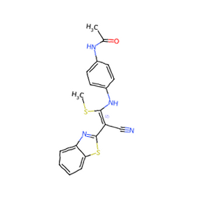 CS/C(Nc1ccc(NC(C)=O)cc1)=C(/C#N)c1nc2ccccc2s1